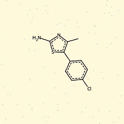 Cc1nc(N)sc1-c1ccc(Cl)cc1